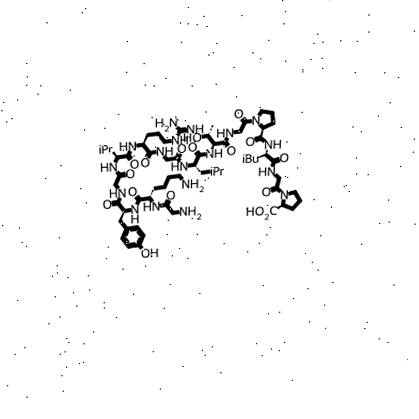 CC[C@H](C)[C@H](NC(=O)[C@@H]1CCCN1C(=O)CNC(=O)[C@@H](NC(=O)[C@H](CC(C)C)NC(=O)CNC(=O)[C@H](CCCNC(=N)N)NC(=O)[C@@H](NC(=O)CNC(=O)[C@H](Cc1ccc(O)cc1)NC(=O)[C@H](CCCCN)NC(=O)CN)C(C)C)[C@@H](C)O)C(=O)NCC(=O)N1CCC[C@H]1C(=O)O